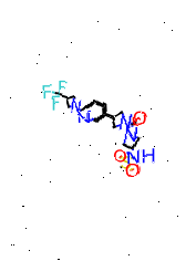 CS(=O)(=O)NC1CN(C(=O)N2CC(c3ccc(N4CC(C(F)(F)F)C4)nc3)C2)C1